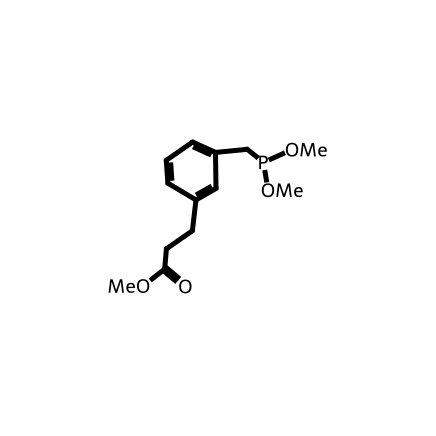 COC(=O)CCc1cccc(CP(OC)OC)c1